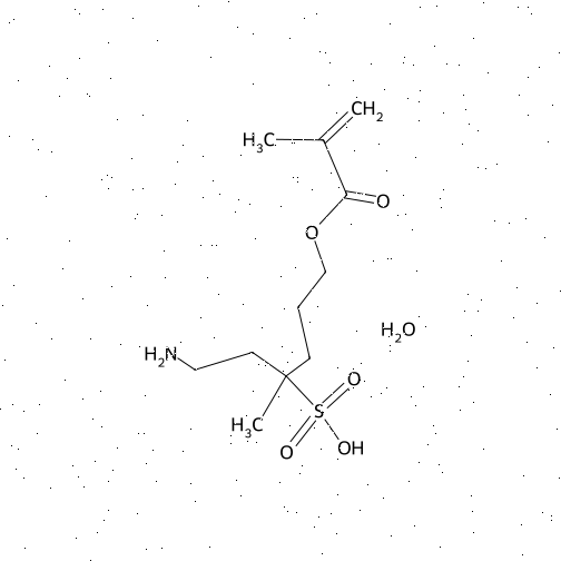 C=C(C)C(=O)OCCCC(C)(CCN)S(=O)(=O)O.O